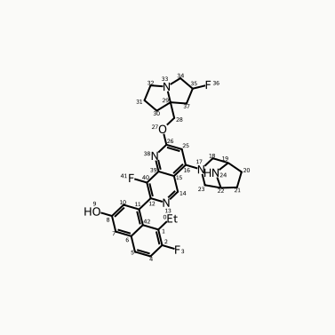 CCc1c(F)ccc2cc(O)cc(-c3ncc4c(N5CC6CCC(C5)N6)cc(OCC56CCCN5CC(F)C6)nc4c3F)c12